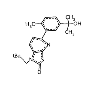 Cc1ccc(C(C)(C)O)cc1-c1ccc2c(n1)sc(=O)n2CC(C)(C)C